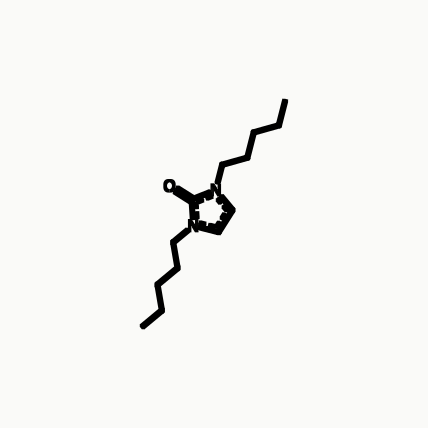 CCCCCn1ccn(CCCCC)c1=O